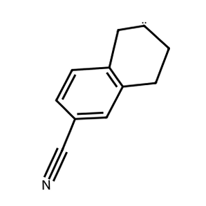 N#Cc1ccc2c(c1)CC[C]C2